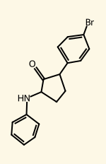 O=C1C(Nc2ccccc2)CCC1c1ccc(Br)cc1